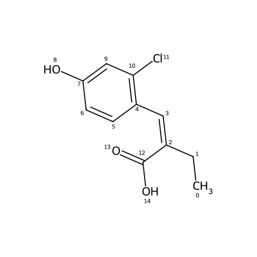 CCC(=Cc1ccc(O)cc1Cl)C(=O)O